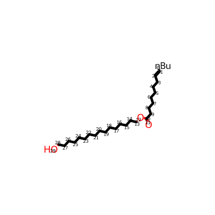 CCCCC=CCCCCCCCC(=O)OCCCCCCCCCCCCCCCCO